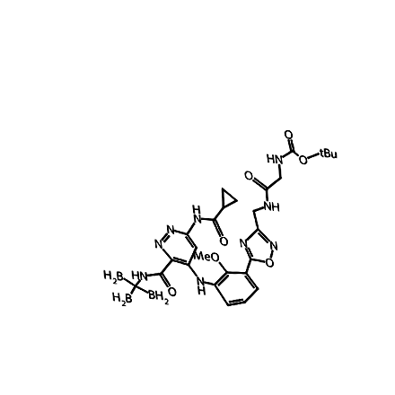 BC(B)(B)NC(=O)c1nnc(NC(=O)C2CC2)cc1Nc1cccc(-c2nc(CNC(=O)CNC(=O)OC(C)(C)C)no2)c1OC